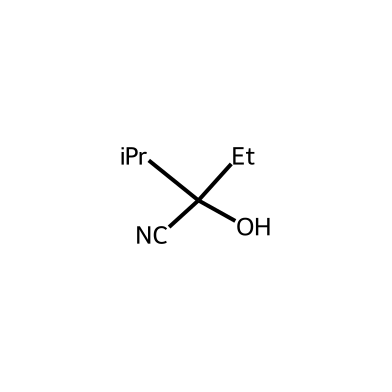 CCC(O)(C#N)C(C)C